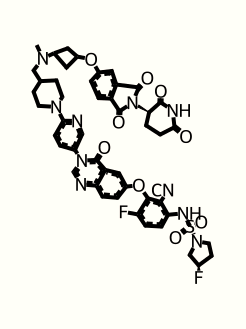 CN(CC1CCN(c2ccc(-n3cnc4ccc(Oc5c(F)ccc(NS(=O)(=O)N6CC[C@@H](F)C6)c5C#N)cc4c3=O)cn2)CC1)C1CC(Oc2ccc3c(c2)C(=O)N([C@@H]2CCC(=O)NC2=O)C3=O)C1